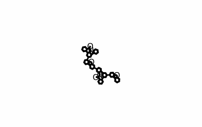 O=c1c2ccccc2c2cc(-c3cccc4c3oc3cc(-c5ccc6c7cc(-c8ccc9oc%10ccccc%10c9c8)cc8c9ccccc9c(=O)n(c6c5)c87)ccc34)cc3c4ccccc4n1c23